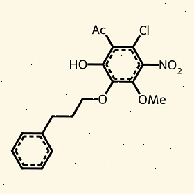 COc1c(OCCCc2ccccc2)c(O)c(C(C)=O)c(Cl)c1[N+](=O)[O-]